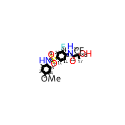 COc1ccc(NS(=O)(=O)c2ccc(NC(=O)[C@@](C)(O)C(F)(F)F)c(F)c2)cc1